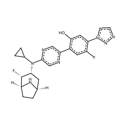 Oc1cc(-n2ccnn2)c(F)cc1-c1cnc(N(C2CC2)[C@@H]2C[C@H]3CC[C@H](N3)[C@@H]2F)cn1